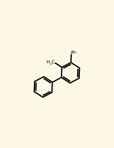 C[C](C)c1cccc(-c2ccccc2)c1C